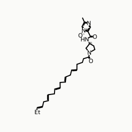 CCC=CCC=CCC=CCC=CCC=CCCCC(=O)N1CC[C@@H](NC(=O)c2cnc(C)c[n+]2[O-])C1